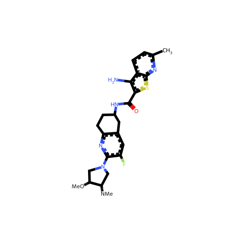 CNC1CN(c2nc3c(cc2F)CC(NC(=O)c2sc4nc(C)ccc4c2N)CC3)CC1OC